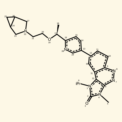 CC(C)n1c(=O)n(C)c2nnc3ccc(-c4ccc([C@H](C)OCCN5CC6CC6C5)nc4)cc3c21